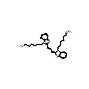 CCCCCCCCCCCCCCCCN1C(=CC=Cc2oc3ccccc3[n+]2CCCCCCCCCCCCCCCC)Oc2ccccc21